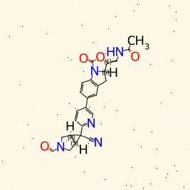 CC(=O)NC[C@@H]1OC(=O)N2c3ccc(-c4ccc(C5(C#N)[C@@H]6CN(C=O)C[C@@H]65)nc4)cc3C[C@@H]12